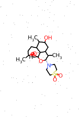 CC1C(O)CC2C(C)[C@H](N3CCS(=O)(=O)CC3)O[C@@H]3OC4(C)CCC1[C@@]23OO4